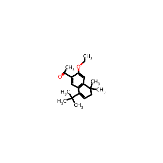 CCOc1cc2c(cc1C(C)=O)C(C(C)(C)C)=CCC2(C)C